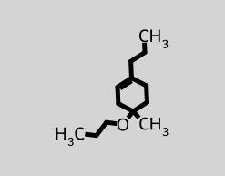 CCCOC1(C)CC=C(CCC)CC1